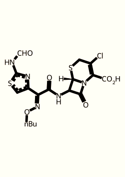 CCCCON=C(C(=O)NC1C(=O)N2C(C(=O)O)=C(Cl)CS[C@@H]12)c1csc(NC=O)n1